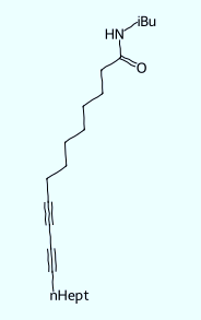 CCCCCCCC#CC#CCCCCCCCC(=O)NC(C)CC